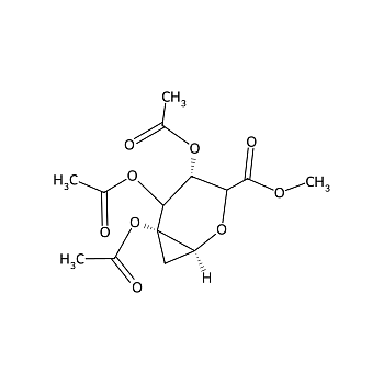 COC(=O)C1O[C@H]2C[C@@]2(OC(C)=O)C(OC(C)=O)[C@@H]1OC(C)=O